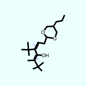 CCCC1COC(C/C=C(\C(O)=C(/C)C(C)(C)C)C(C)(C)C)OC1